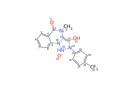 CN1C(=O)c2ccccc2N2C1=C(O)N(c1ccc(C(F)(F)F)cc1)[NH+]2[O-]